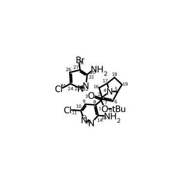 CC(C)(C)OC(=O)N1C2C=C(c3cc(Cl)nnc3N)CC1CC2.Nc1nnc(Cl)cc1Br